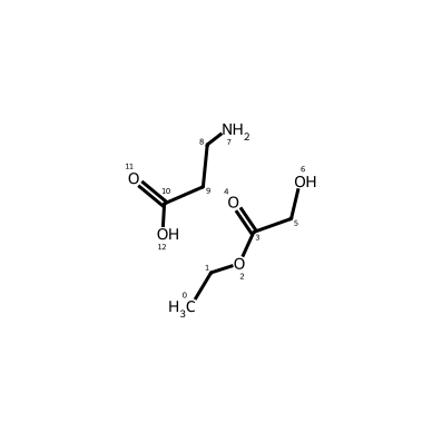 CCOC(=O)CO.NCCC(=O)O